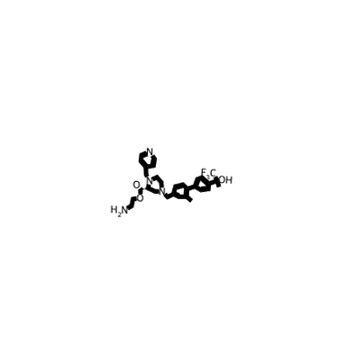 Cc1cc(CN2CCN(Cc3ccncc3)[C@@H](C(=O)OCCN)C2)ccc1-c1ccc(C(C)(O)C(F)(F)F)cc1